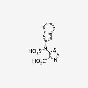 O=C(O)c1ncsc1N(c1cc2ccccc2s1)S(=O)(=O)O